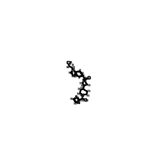 O=C(c1ccc2c(c1)ncn2CCC(F)(F)F)N1CC(C2CCN(C(=O)c3nccs3)CC2)C1